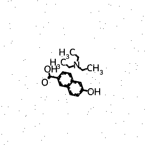 CCN(CC)CC.O=C(O)c1ccc2cc(O)ccc2c1